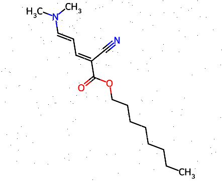 CCCCCCCCOC(=O)C(C#N)=CC=CN(C)C